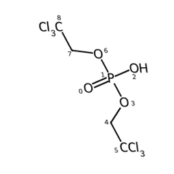 O=P(O)(OCC(Cl)(Cl)Cl)OCC(Cl)(Cl)Cl